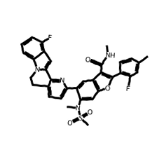 CNC(=O)c1c(-c2ccc(C)cc2F)oc2cc(N(C)S(C)(=O)=O)c(-c3ccc4c(n3)-c3cc5c(F)cccc5n3CC4)cc12